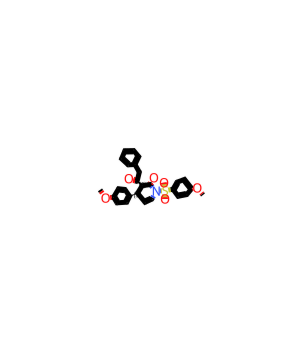 COc1ccc([C@H]2C=CN(S(=O)(=O)c3ccc(OC)cc3)C(=O)[C@@H]2C(=O)Cc2ccccc2)cc1